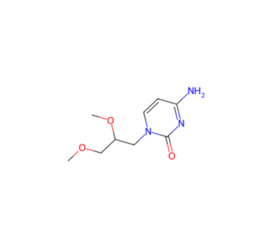 COCC(Cn1ccc(N)nc1=O)OC